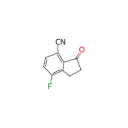 N#Cc1ccc(F)c2c1C(=O)CC2